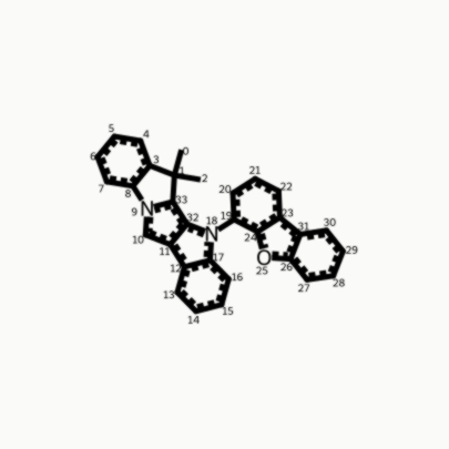 CC1(C)c2ccccc2-n2cc3c4ccccc4n(-c4cccc5c4oc4ccccc45)c3c21